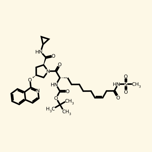 CC(C)(C)OC(=O)N[C@@H](CCCCC/C=C\CC(=O)NS(C)(=O)=O)C(=O)N1C[C@H](Oc2nccc3ccccc23)C[C@H]1C(=O)NC1CC1